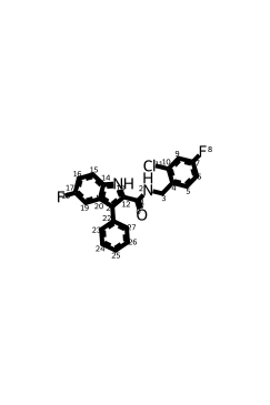 O=C(NCc1ccc(F)cc1Cl)c1[nH]c2ccc(F)cc2c1-c1ccccc1